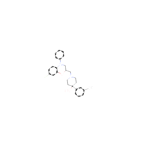 OC1(c2cccc(C(F)(F)F)c2)CCN(CC2CN(c3ccccc3)c3ccc(F)cc3O2)CC1